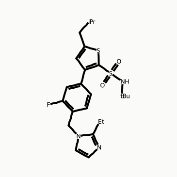 CCc1nccn1Cc1ccc(-c2cc(CC(C)C)sc2S(=O)(=O)NC(C)(C)C)cc1F